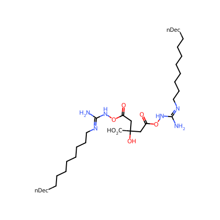 CCCCCCCCCCCCCCCCCCN=C(N)NOC(=O)CC(O)(CC(=O)ONC(N)=NCCCCCCCCCCCCCCCCCC)C(=O)O